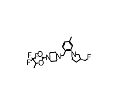 Cc1ccc(CN2CCN(C(=O)OC(C)C(F)(F)F)CC2)c(N2CC[C@H](CF)C2)c1